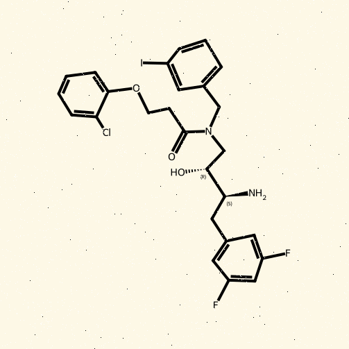 N[C@@H](Cc1cc(F)cc(F)c1)[C@H](O)CN(Cc1cccc(I)c1)C(=O)CCOc1ccccc1Cl